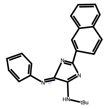 CC(C)(C)NC1=NC(c2ccc3ccccc3c2)=N/C1=N\c1ccccc1